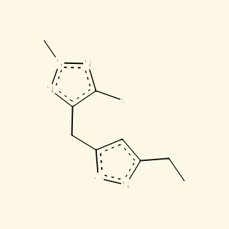 CCc1cc(Cc2nn(C)nc2I)on1